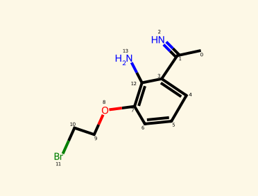 CC(=N)c1cccc(OCCBr)c1N